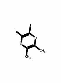 CC1=C(C)OC(I)=C(I)O1